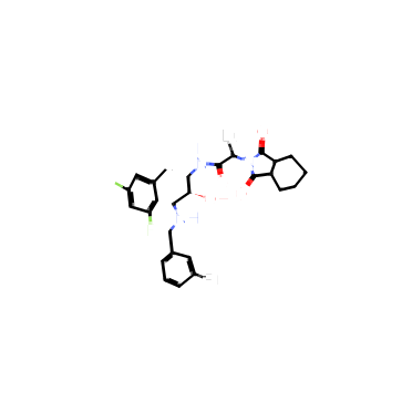 CCc1cccc(CNC[C@H](O)[C@H](Cc2cc(F)cc(F)c2)NC(=O)C(CC)N2C(=O)C3CCCCC3C2=O)c1